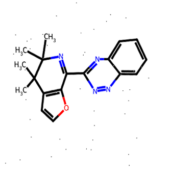 CC1(C)N=C(c2nnc3ccccc3n2)c2occc2C1(C)C